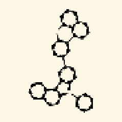 c1ccc(-n2c3ccc(-c4ccc5c(c4)-c4cccc6cccc(c46)S5)cc3c3c4ccccc4ccc32)cc1